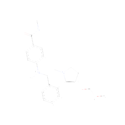 CNC(=O)c1ccc(N(C)[C@H](CN2CC[C@H](OCOC)C2)c2ccccc2)cc1